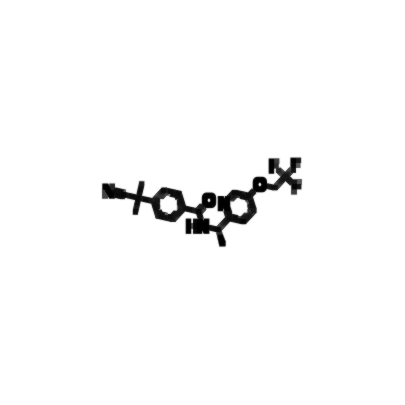 C[C@@H](NC(=O)c1ccc(C(C)(C)C#N)cc1)c1ccc(OCC(F)(F)F)cn1